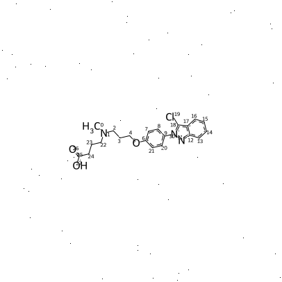 CN(CCCOc1ccc(-n2nc3ccccc3c2Cl)cc1)CCCC(=O)O